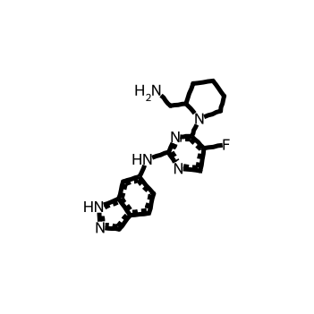 NCC1CCCCN1c1nc(Nc2ccc3cn[nH]c3c2)ncc1F